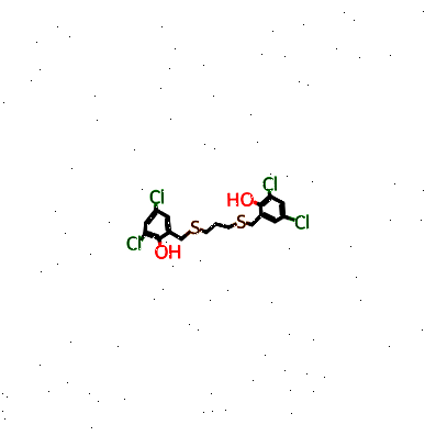 Oc1c(Cl)cc(Cl)cc1CSCCCSCc1cc(Cl)cc(Cl)c1O